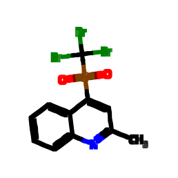 Cc1cc(S(=O)(=O)C(Br)(Br)Br)c2ccccc2n1